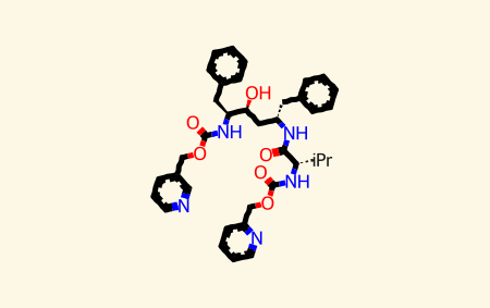 CC(C)[C@H](NC(=O)OCc1ccccn1)C(=O)N[C@@H](Cc1ccccc1)C[C@H](O)[C@H](Cc1ccccc1)NC(=O)OCc1cccnc1